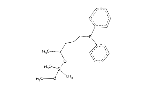 CO[Si](C)(C)OC(C)CCCP(c1ccccc1)c1ccccc1